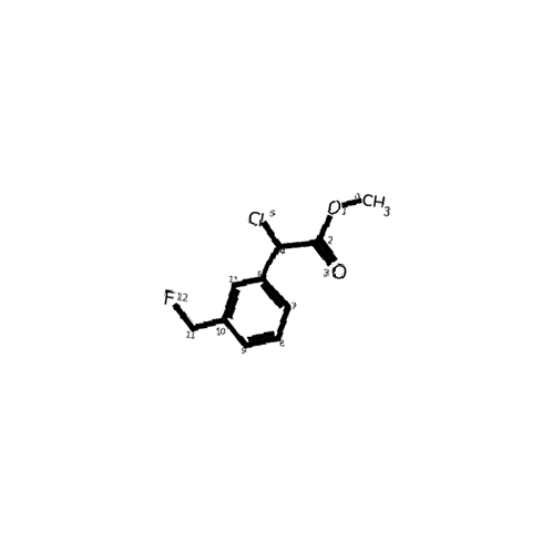 COC(=O)C(Cl)c1cccc(CF)c1